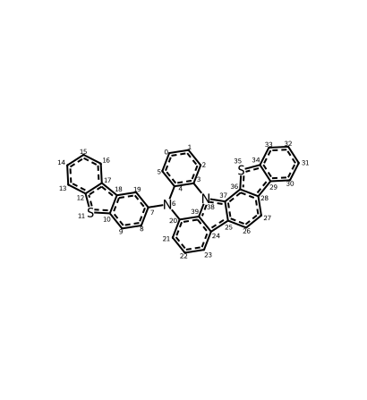 c1ccc2c(c1)N(c1ccc3sc4ccccc4c3c1)c1cccc3c4ccc5c6ccccc6sc5c4n-2c13